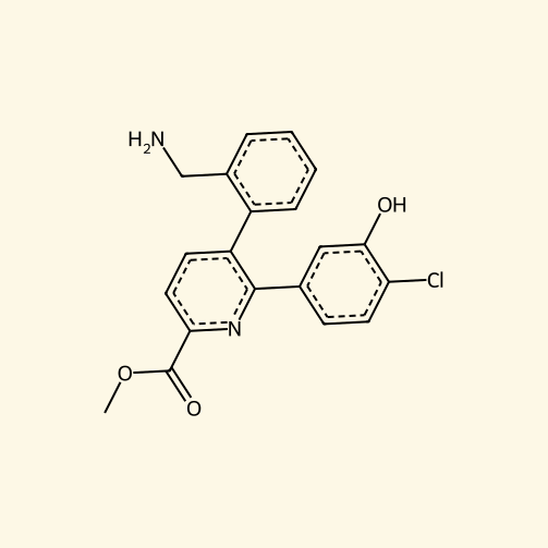 COC(=O)c1ccc(-c2ccccc2CN)c(-c2ccc(Cl)c(O)c2)n1